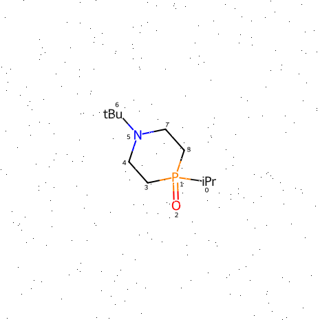 CC(C)P1(=O)CCN(C(C)(C)C)CC1